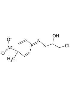 CC1([N+](=O)[O-])C=CC(=NC[C@H](O)CCl)C=C1